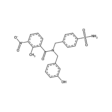 Cc1c(C(=O)N(Cc2ccc(S(N)(=O)=O)cc2)Cc2cccc(O)c2)cccc1[N+](=O)[O-]